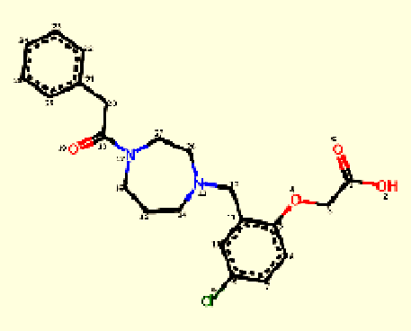 O=C(O)COc1ccc(Cl)cc1CN1CCCN(C(=O)Cc2ccccc2)CC1